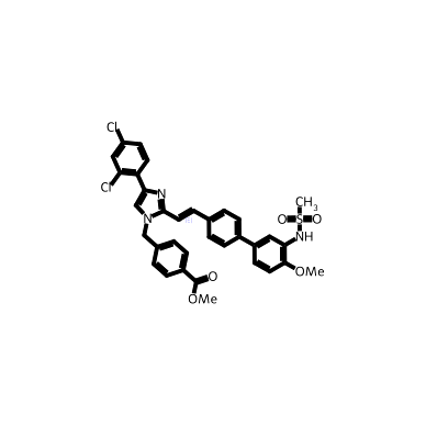 COC(=O)c1ccc(Cn2cc(-c3ccc(Cl)cc3Cl)nc2/C=C/c2ccc(-c3ccc(OC)c(NS(C)(=O)=O)c3)cc2)cc1